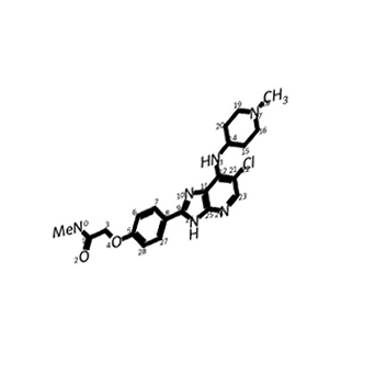 CNC(=O)COc1ccc(-c2nc3c(NC4CCN(C)CC4)c(Cl)cnc3[nH]2)cc1